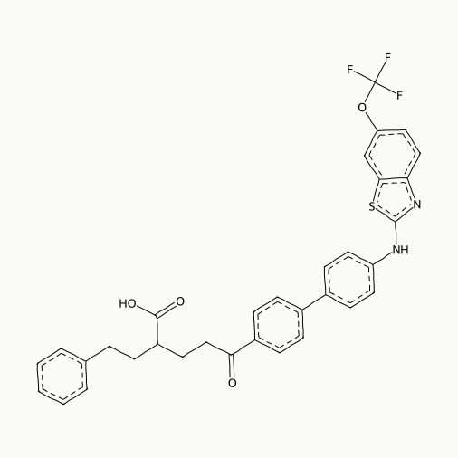 O=C(CCC(CCc1ccccc1)C(=O)O)c1ccc(-c2ccc(Nc3nc4ccc(OC(F)(F)F)cc4s3)cc2)cc1